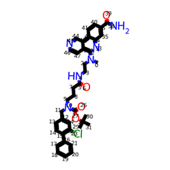 CN(CCNC(=O)CCCN(Cc1ccc(-c2ccccc2)c(Cl)c1)C(=O)OC(C)(C)C)c1nc2cc(C(N)=O)ccc2c2cnccc12